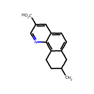 CC1CCc2c(ccc3cc(C(=O)O)cnc23)C1